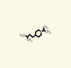 C=C(C)N1CCC(CCC(C)C)CC1